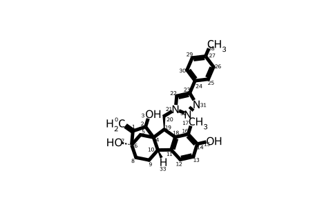 C=C1C(O)C23C[C@@]1(O)CC[C@H]2c1ccc(O)c(C)c1[C@@H]3Cn1cc(-c2ccc(C)cc2)nn1